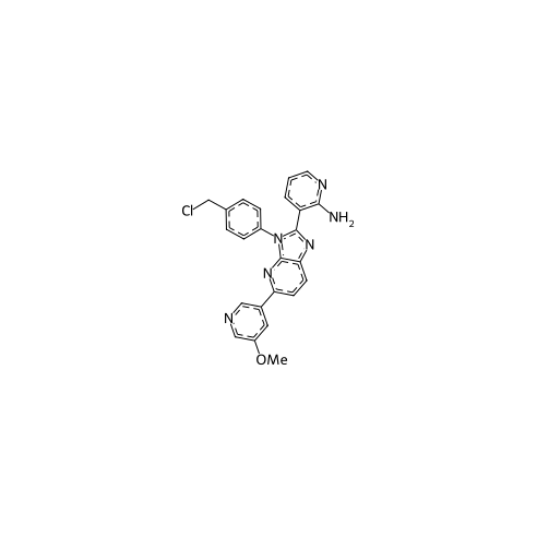 COc1cncc(-c2ccc3nc(-c4cccnc4N)n(-c4ccc(CCl)cc4)c3n2)c1